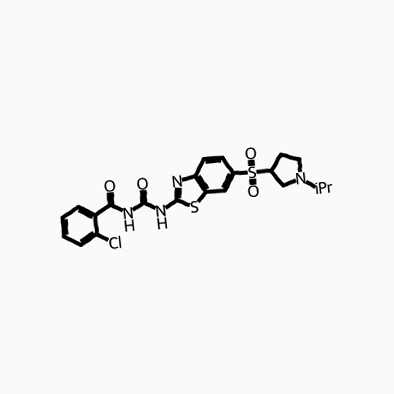 CC(C)N1CCC(S(=O)(=O)c2ccc3nc(NC(=O)NC(=O)c4ccccc4Cl)sc3c2)C1